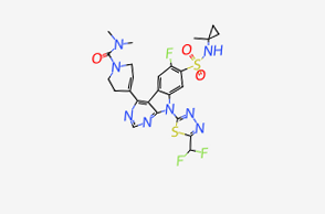 CN(C)C(=O)N1CC=C(c2ncnc3c2c2cc(F)c(S(=O)(=O)NC4(C)CC4)cc2n3-c2nnc(C(F)F)s2)CC1